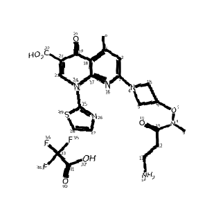 Cc1cc(N2CC(ON(C)C(=O)CCN)C2)nc2c1c(=O)c(C(=O)O)cn2-c1nccs1.O=C(O)C(F)(F)F